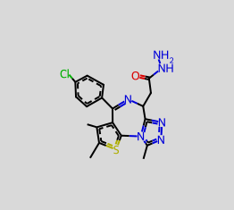 Cc1sc2c(c1C)C(c1ccc(Cl)cc1)=NC(CC(=O)NN)c1nnc(C)n1-2